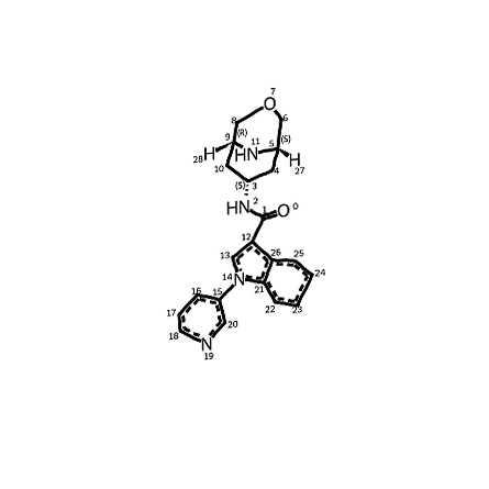 O=C(N[C@H]1C[C@H]2COC[C@@H](C1)N2)c1cn(-c2cccnc2)c2ccccc12